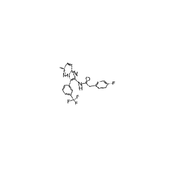 Cc1ccc2nc(NC(=O)Cc3ccc(F)cc3)c(-c3cccc(C(F)(F)F)c3)n2n1